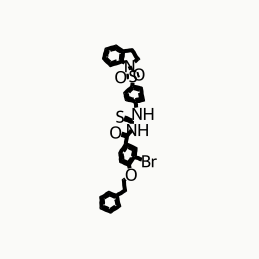 O=C(NC(=S)Nc1ccc(S(=O)(=O)N2CCc3ccccc32)cc1)c1ccc(OCCc2ccccc2)c(Br)c1